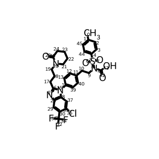 Cc1ccc(S(=O)(=O)N(CCc2ccc(-n3c(CCCN4CCCCC4=O)nc4cc(C(F)(F)F)c(Cl)cc43)cc2)C(=O)O)cc1